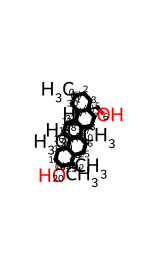 C[C@H]1CC[C@]2(CO)CC[C@@]3(C)C(=CCC4[C@@]5(C)CC[C@H](O)C(C)(C)C5CC[C@]43C)[C@@H]2C1